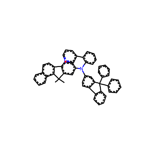 CC1(C)c2cc(N(c3ccc4c(c3)C(c3ccccc3)(c3ccccc3)c3ccccc3-4)c3ccccc3-c3cccnc3)ccc2-c2ccc3ccccc3c21